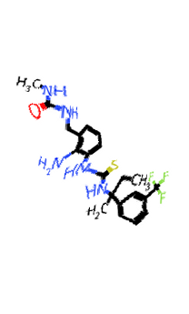 [CH2]C(CC)(NC(=S)Nc1cccc(CNC(=O)NC)c1N)c1cccc(C(F)(F)F)c1